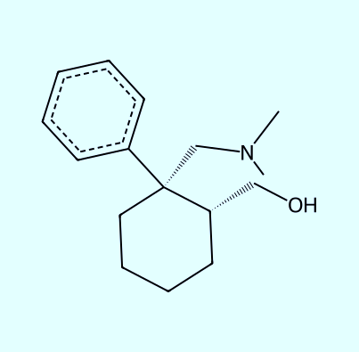 CN(C)C[C@@]1(c2ccccc2)CCCC[C@H]1CO